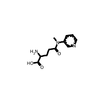 CN(C(=O)CCC(N)C(=O)O)c1cccnc1